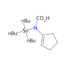 CCC[CH2][Sn]([CH2]CCC)([CH2]CCC)[N](C(=O)O)C1=CCCC1